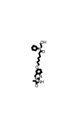 CC1C(=O)NC2=Nc3ccc(OCCCCCCC(=O)N(CCO)c4ccccc4)cc3CN21